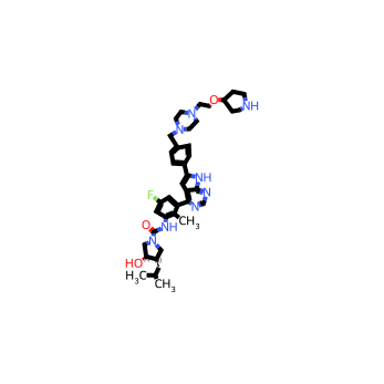 Cc1c(NC(=O)N2C[C@H](CC(C)C)[C@@H](O)C2)cc(F)cc1-c1ncnc2[nH]c(-c3ccc(CN4CCN(CCOC5CCNCC5)CC4)cc3)cc12